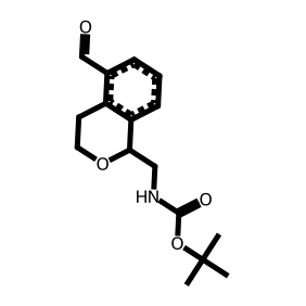 CC(C)(C)OC(=O)NCC1OCCc2c(C=O)cccc21